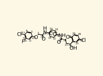 O=C(COc1ccc(Cl)c(F)c1)NC12CCC(NC(=O)[C@@H]3C[C@H](O)c4cc(Cl)ccc4O3)(CC1)CC2